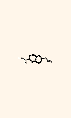 NCc1ccc2nc([NH][RaH])ccc2c1